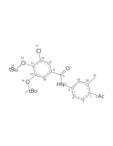 CC(=O)c1ccc(NC(=O)c2cc(Cl)c(OC(C)(C)C)c(OC(C)(C)C)c2)cc1C